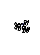 COc1ccc(/C(=C\c2cc(OC)c(OC)c(OC)c2)C(=O)O)cc1[N+](=O)[O-]